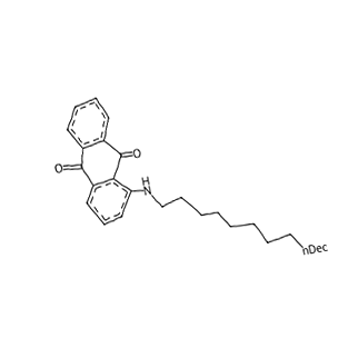 CCCCCCCCCCCCCCCCCCNc1cccc2c1C(=O)c1ccccc1C2=O